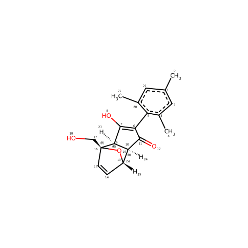 Cc1cc(C)c(C2=C(O)[C@H]3[C@@H](C2=O)[C@@H]2C=C[C@@]3(CO)O2)c(C)c1